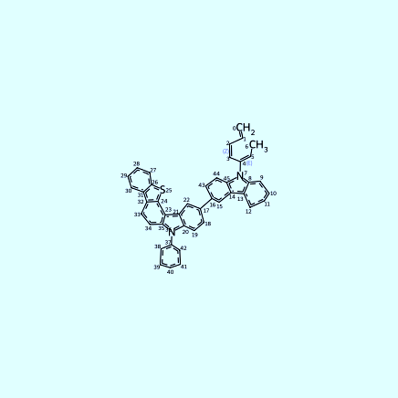 C=C/C=C\C(=C/C)n1c2ccccc2c2cc(-c3ccc4c(c3)c3c5sc6ccccc6c5ccc3n4-c3ccccc3)ccc21